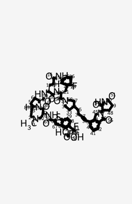 CN1CC[C@H]2CC[C@@H](C(=O)N[C@@H](CCC(N)=O)C(=O)N[C@@H](Cc3ccccc3F)C(=O)N3CCC(CCC#Cc4cccc5c4CN(C4CCC(=O)NC4=O)C5=O)CC3)N2C(=O)[C@@H](NC(=O)c2cc3cc(C(F)(F)P(=O)(O)O)ccc3s2)C1